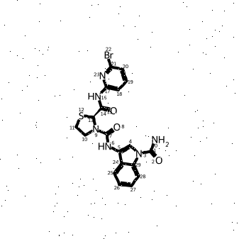 NC(=O)n1cc(NC(=O)N2CCS[C@H]2C(=O)Nc2cccc(Br)n2)c2ccccc21